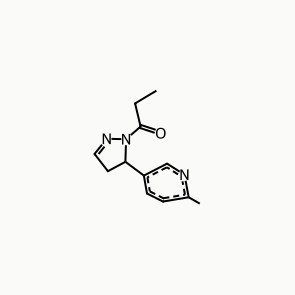 CCC(=O)N1N=CCC1c1ccc(C)nc1